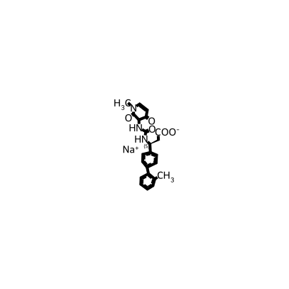 Cc1ccccc1-c1ccc([C@H](CC(=O)[O-])NC(=O)NC2C(=O)C=CN(C)C2=O)cc1.[Na+]